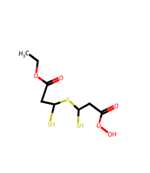 CCOC(=O)CC(S)SC(S)CC(=O)OO